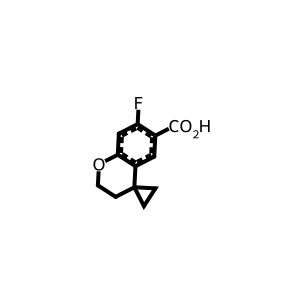 O=C(O)c1cc2c(cc1F)OCCC21CC1